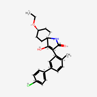 CCO[C@H]1CC[C@]2(CC1)NC(=O)C(c1cc(-c3ccc(Cl)cc3)ccc1C)=C2O